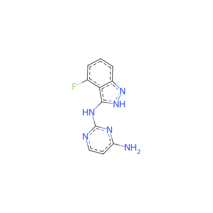 Nc1ccnc(Nc2[nH]nc3cccc(F)c23)n1